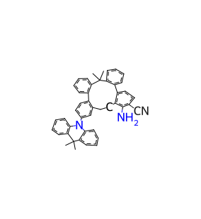 CC1(C)c2ccccc2-c2ccc(N3c4ccccc4C(C)(C)c4ccccc43)cc2CCc2c(ccc(C#N)c2N)-c2ccccc21